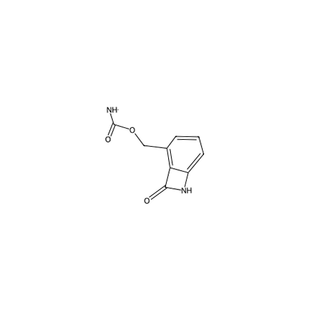 [NH]C(=O)OCc1cccc2c1C(=O)N2